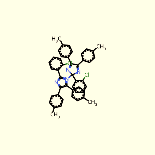 Cc1ccc(C2=NC(c3ccccc3Cl)(n3c(-c4ccccc4Cl)nc(-c4ccc(C)cc4)c3-c3ccc(C)cc3)N=C2c2ccc(C)cc2)cc1